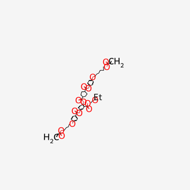 C=CC(=O)OCCCCCCOc1ccc(OC(=O)C2CCC(C(=O)Oc3ccc(OC(=O)c4ccc(OCCCCOC(=O)C=C)cc4)cc3C(=O)OCCOCC)CC2)cc1